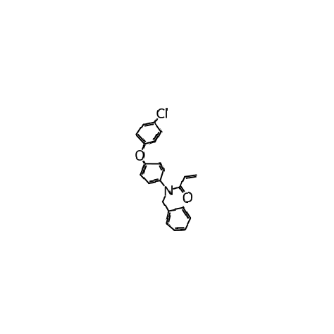 C=CC(=O)N(Cc1ccccc1)c1ccc(Oc2ccc(Cl)cc2)cc1